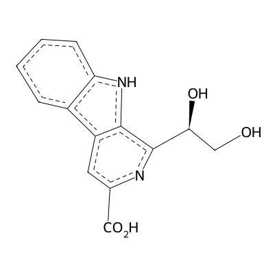 O=C(O)c1cc2c([nH]c3ccccc32)c([C@@H](O)CO)n1